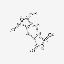 N=c1oc(=O)c2cc3c(=O)oc(=O)c3cc12